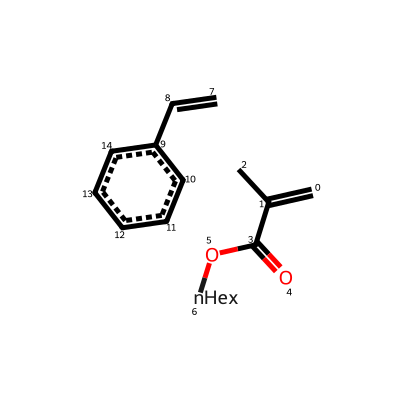 C=C(C)C(=O)OCCCCCC.C=Cc1ccccc1